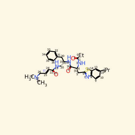 CCC(=O)N[C@@H](Cc1nc2ccc(C(C)C)cc2s1)C(=O)N[C@H](CNC(=O)/C=C/CN(C)C)Cc1ccccc1